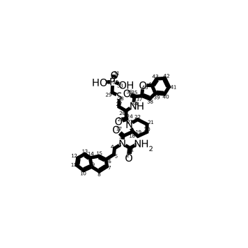 NC(=O)N(CCc1ccc2ccccc2c1)C(=O)C1CCCCN1C(=O)C(CSCP(=O)(O)O)NC(=O)c1cc2ccccc2o1